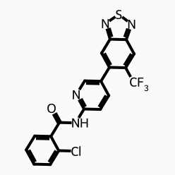 O=C(Nc1ccc(-c2cc3nsnc3cc2C(F)(F)F)cn1)c1ccccc1Cl